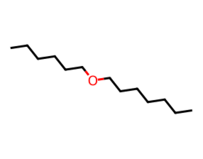 CCCCCCCOCCCCCC